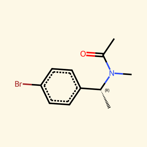 CC(=O)N(C)[C@H](C)c1ccc(Br)cc1